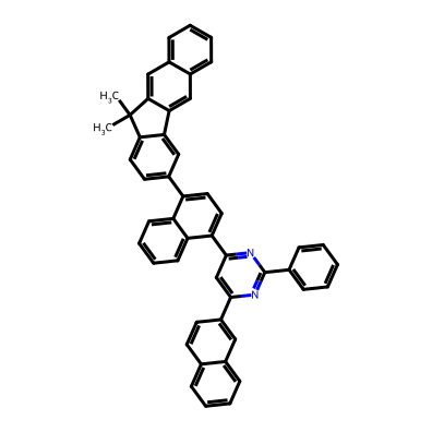 CC1(C)c2ccc(-c3ccc(-c4cc(-c5ccc6ccccc6c5)nc(-c5ccccc5)n4)c4ccccc34)cc2-c2cc3ccccc3cc21